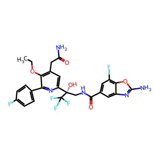 CCOc1c(CC(N)=O)cc([C@@](O)(CNC(=O)c2cc(F)c3oc(N)nc3c2)C(F)(F)F)nc1-c1ccc(F)cc1